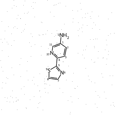 Nc1ccc(-c2nccs2)nc1